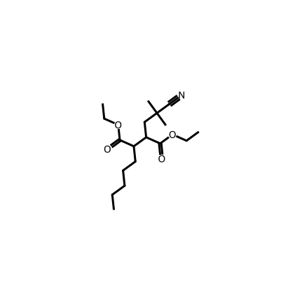 CCCCCC(C(=O)OCC)C(CC(C)(C)C#N)C(=O)OCC